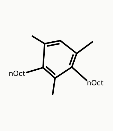 CCCCCCCCc1c(C)cc(C)c(CCCCCCCC)c1C